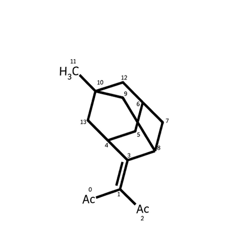 CC(=O)C(C(C)=O)=C1C2CC3CC1CC(C)(C3)C2